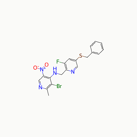 Cc1ncc([N+](=O)[O-])c(NCc2ncc(SCc3ccccc3)cc2F)c1Br